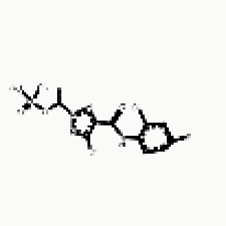 CC(OP(=O)(O)O)n1nc(Br)c(C(=O)Nc2ccc(F)cc2Cl)n1